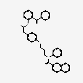 O=C(c1ccccc1)c1ccccc1NC(Cc1ccc(OCCCN(C(=O)c2ccc3ccccc3c2)c2ccccc2)cc1)C(=O)O